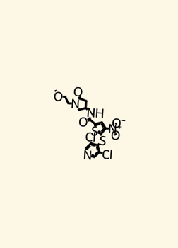 COCCN1CC(NC(=O)c2cc([N+](=O)[O-])c(Sc3c(Cl)cncc3Cl)s2)CC1=O